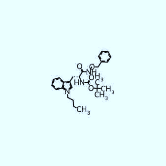 CCCCn1cc(C[C@@H](NC(=O)OC(C)(C)C)C(=O)NOCc2ccccc2)c2ccccc21